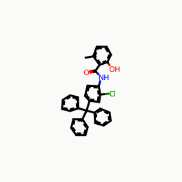 Cc1cccc(O)c1C(=O)Nc1ccc(C(c2ccccc2)(c2ccccc2)c2ccccc2)cc1Cl